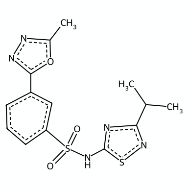 Cc1nnc(-c2cccc(S(=O)(=O)Nc3nc(C(C)C)ns3)c2)o1